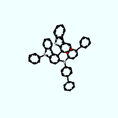 c1ccc(-c2ccc(N(c3ccc(-c4ccccc4)cc3)c3ccc4c(c3-c3cccc5c3sc3ccccc35)c3ccccc3n4-c3ccccc3)cc2)cc1